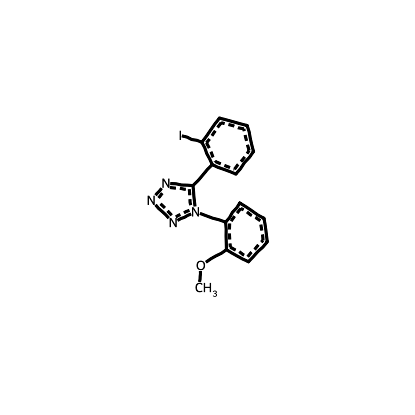 COc1ccccc1-n1nnnc1-c1ccccc1I